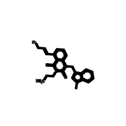 CC(C)C/C=C/c1cccc2c1c(=O)n(CCC(=O)O)c(=O)n2Cc1cn(C)c2ccccc12